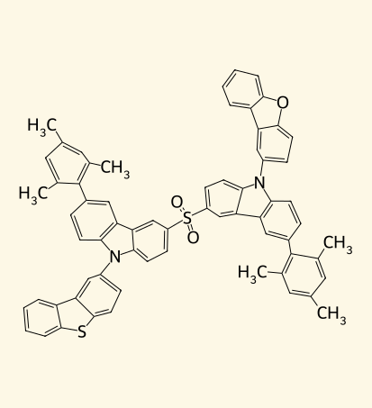 Cc1cc(C)c(-c2ccc3c(c2)c2cc(S(=O)(=O)c4ccc5c(c4)c4cc(-c6c(C)cc(C)cc6C)ccc4n5-c4ccc5sc6ccccc6c5c4)ccc2n3-c2ccc3oc4ccccc4c3c2)c(C)c1